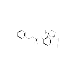 O=C(CCc1ccccc1)Oc1ccc(O)c2c1[C@@H]1CC[C@H]2C1